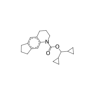 O=C(OC(C1CC1)C1CC1)N1CCCc2cc3c(cc21)CCC3